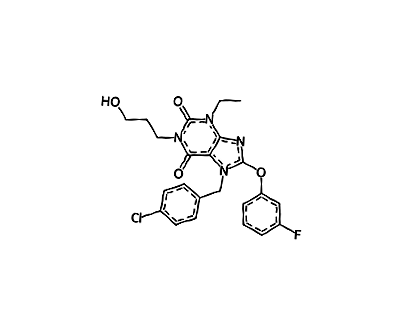 CCn1c(=O)n(CCCO)c(=O)c2c1nc(Oc1cccc(F)c1)n2Cc1ccc(Cl)cc1